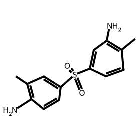 Cc1cc(S(=O)(=O)c2ccc(C)c(N)c2)ccc1N